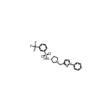 O=S(=O)(N[C@@H]1CCN(Cc2ccn(-c3ccccc3)n2)C1)c1cccc(C(F)(F)F)c1